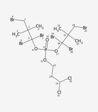 CC(C)(CBr)C(Br)(Br)OP(=O)(OCCC(Cl)Cl)OC(Br)(Br)C(C)(C)CBr